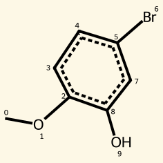 COc1c[c]c(Br)cc1O